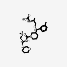 CNC[C@H](C[C@H]1CCCOC1)NC(=O)N1CCCC([C@@H](OCC(C)NC(=O)O)c2cccc(C)c2)C1